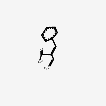 C=CC(=Cc1ccccc1)C(=O)O